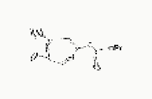 CCCC(=O)Oc1ccc(Cl)c(N)c1